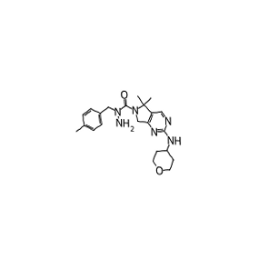 Cc1ccc(CN(N)C(=O)N2Cc3nc(NC4CCOCC4)ncc3C2(C)C)cc1